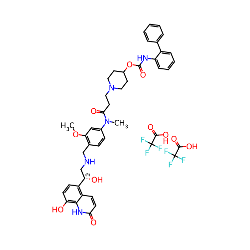 COc1cc(N(C)C(=O)CCN2CCC(OC(=O)Nc3ccccc3-c3ccccc3)CC2)ccc1CNC[C@H](O)c1ccc(O)c2[nH]c(=O)ccc12.O=C(O)C(F)(F)F.O=C(O)C(F)(F)F